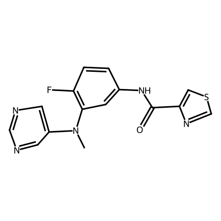 CN(c1cncnc1)c1cc(NC(=O)c2cscn2)ccc1F